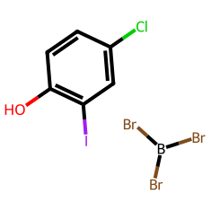 BrB(Br)Br.Oc1ccc(Cl)cc1I